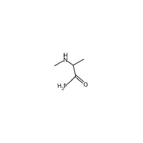 CNC(C)C(=O)P